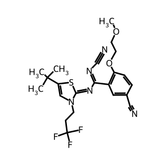 COCCOc1ccc(C#N)cc1C(/N=c1\sc(C(C)(C)C)cn1CCC(F)(F)F)=N\C#N